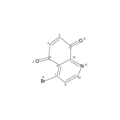 O=C1C=CC(=O)c2c(Br)ccnc21